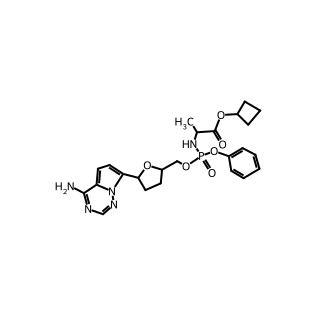 CC(NP(=O)(OCC1CCC(c2ccc3c(N)ncnn23)O1)Oc1ccccc1)C(=O)OC1CCC1